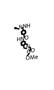 C#CCN(C)C(=N)c1ccc(C(=O)Nc2ccc3c(c2)CN(CC(=O)OCCOC)CC3)cc1